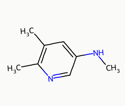 CNc1cnc(C)c(C)c1